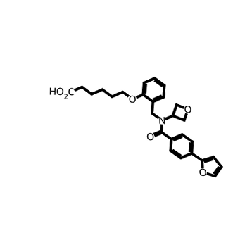 O=C(O)CCCCCOc1ccccc1CN(C(=O)c1ccc(-c2ccco2)cc1)C1COC1